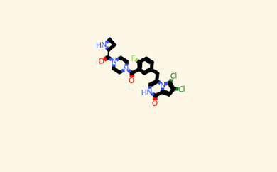 O=C(c1cc(Cc2c[nH]c(=O)c3cc(Cl)c(Cl)n23)ccc1F)N1CCN(C(=O)[C@@H]2CCN2)CC1